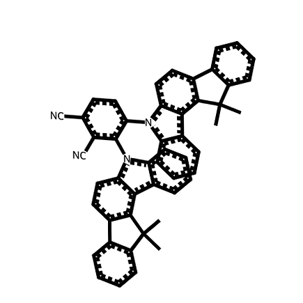 CC1(C)c2ccccc2-c2ccc3c(c21)c1ccccc1n3-c1ccc(C#N)c(C#N)c1-n1c2ccccc2c2c3c(ccc21)-c1ccccc1C3(C)C